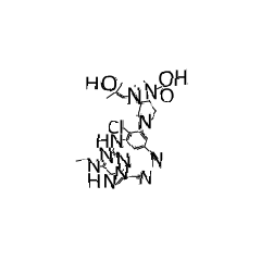 CCNc1nc(Nc2cc(C#N)cc(N3CC[C@@H](N(C)C(=O)O)[C@H](N(C)CC(C)(C)O)C3)c2Cl)nn2c(C#N)cnc12